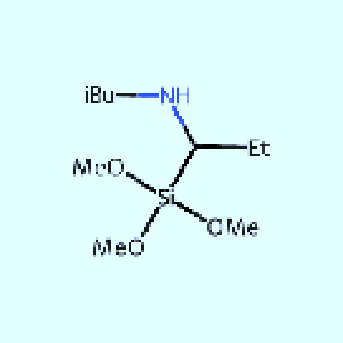 CCC(C)NC(CC)[Si](OC)(OC)OC